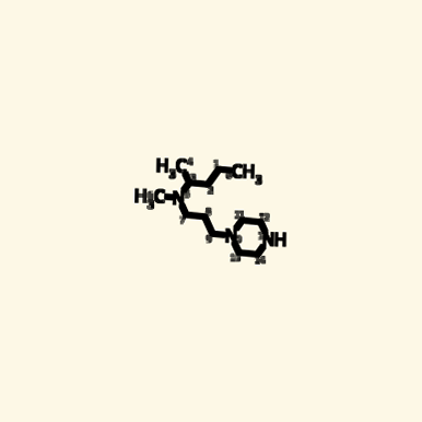 CCCC(C)N(C)CCCN1CCNCC1